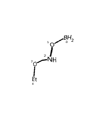 BONOCC